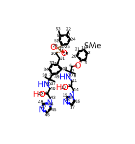 CSc1ccc(OCC(C)(C)NCC(O)Cn2ccnc2)cc1.Cc1ccc(S(=O)(=O)CCc2ccc(C(C)(C)NCC(O)Cn3ccnc3)cc2)cc1C